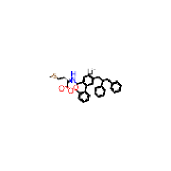 CSCC[C@H](NC(=O)c1ccc(CC(Cc2ccccc2)c2ccccc2)cc1-c1ccccc1C)C(=O)[O-].[Li+]